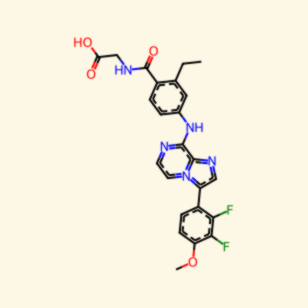 CCc1cc(Nc2nccn3c(-c4ccc(OC)c(F)c4F)cnc23)ccc1C(=O)NCC(=O)O